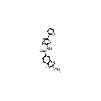 Cc1nc2cc(C(=O)Nc3nnc(-c4ccco4)s3)ccc2[nH]1